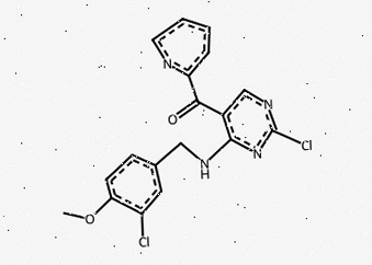 COc1ccc(CNc2nc(Cl)ncc2C(=O)c2ccccn2)cc1Cl